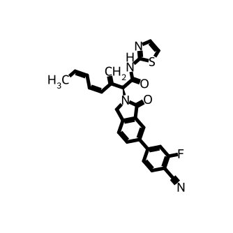 C=C(/C=C\C=C/C)[C@@H](C(=O)Nc1nccs1)N1Cc2ccc(-c3ccc(C#N)c(F)c3)cc2C1=O